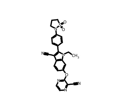 CCn1c(-c2ccc(N3CCCS3(=O)=O)cc2)c(C#N)c2ccc(Oc3nccnc3C#N)cc21